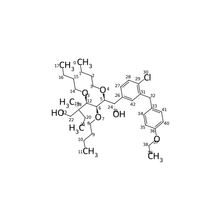 CCCCO[C@H]([C@@H](OCCCC)[C@H](OCCCC)[C@@](C)(CC)CO)[C@@H](O)c1ccc(Cl)c(Cc2ccc(OCC)cc2)c1